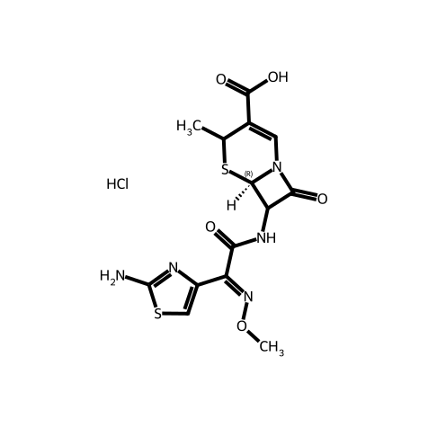 CON=C(C(=O)NC1C(=O)N2C=C(C(=O)O)C(C)S[C@H]12)c1csc(N)n1.Cl